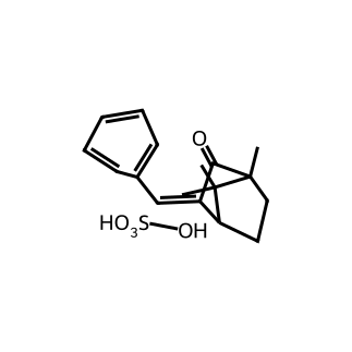 CC12CCC(C(=Cc3ccccc3)C1=O)C2(C)C.O=S(=O)(O)O